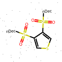 CCCCCCCCCCS(=O)(=O)c1cscc1S(=O)(=O)CCCCCCCCCC